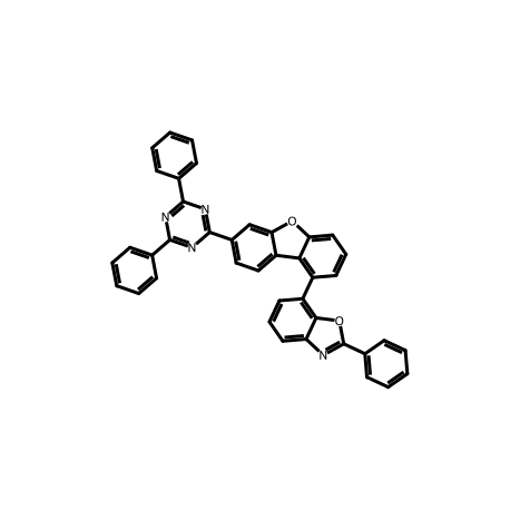 c1ccc(-c2nc(-c3ccccc3)nc(-c3ccc4c(c3)oc3cccc(-c5cccc6nc(-c7ccccc7)oc56)c34)n2)cc1